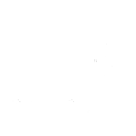 CC1(C)C(=O)N(Cc2cc(F)cc(F)c2)c2cc(C(=O)NCc3ccc(N)cc3)ccc21